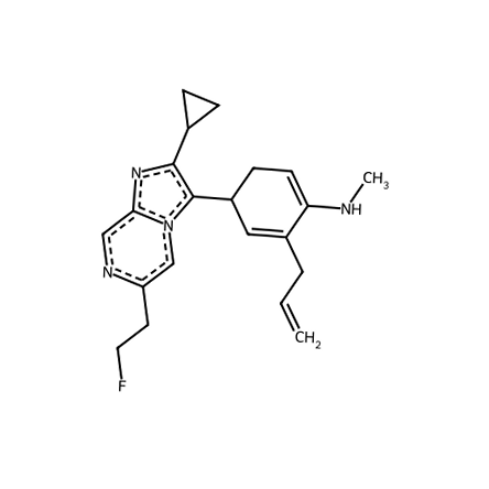 C=CCC1=CC(c2c(C3CC3)nc3cnc(CCF)cn23)CC=C1NC